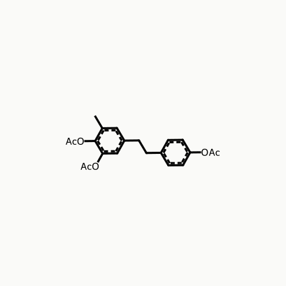 CC(=O)Oc1ccc(CCc2cc(C)c(OC(C)=O)c(OC(C)=O)c2)cc1